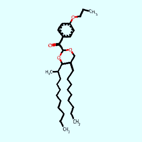 CCCCCCCCCC(C)C1OC(C(=O)c2ccc(OCCC)cc2)OCC1CCCCCCCCC